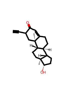 C#CC1C[C@@]2(C)C(=CC1=O)CC[C@H]1[C@@H]3CC[C@H](O)[C@@]3(C)CC[C@@H]12